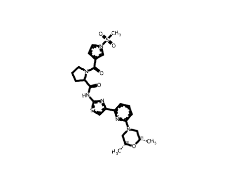 C[C@@H]1CN(c2cccc(-c3csc(NC(=O)C4CCCN4C(=O)c4ccn(S(C)(=O)=O)c4)n3)n2)C[C@H](C)O1